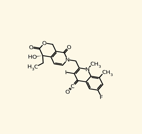 CC[C@@]1(O)C(=O)OCc2c1ccn(CC1=C(I)C(=C=O)c3cc(F)cc(C)c3N1C)c2=O